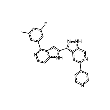 Cc1cc(F)cc(-c2nccc3[nH]c(-c4n[nH]c5cnc(-c6ccncc6)cc45)cc23)c1